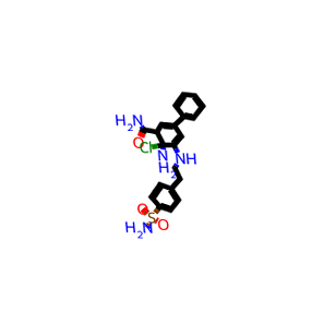 NC(=O)C1C=C(c2ccccc2)C=C(NCCc2ccc(S(N)(=O)=O)cc2)C1(N)Cl